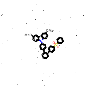 COc1ccc2c(c1)c1cc(OC)ccc1n2-c1ccc(-c2ccccc2-c2ccc(S(=O)(=O)c3ccccc3)cc2)cc1